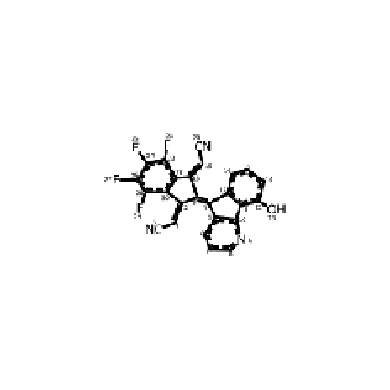 N#C/C=C1/C(=C2c3cccnc3-c3c(O)cccc32)/C(=C/C#N)c2c(F)c(F)c(F)c(F)c21